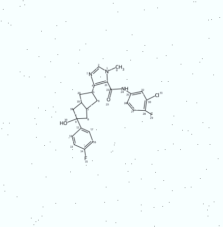 Cn1cnc(C2CC3CC(O)(c4ccc(F)cc4)CC3C2)c1C(=O)Nc1ccc(F)c(Cl)c1